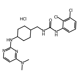 CN(C)c1ccnc(NC2CCC(CNC(=O)Nc3cccc(Cl)c3Cl)CC2)n1.Cl